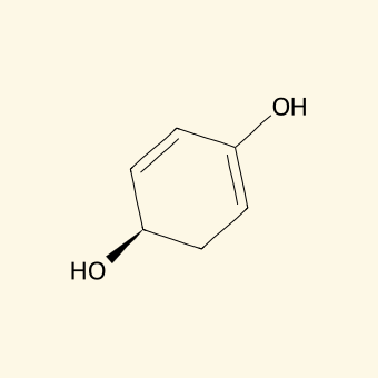 OC1=CC[C@@H](O)C=C1